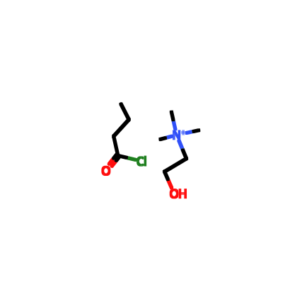 CCCC(=O)Cl.C[N+](C)(C)CCO